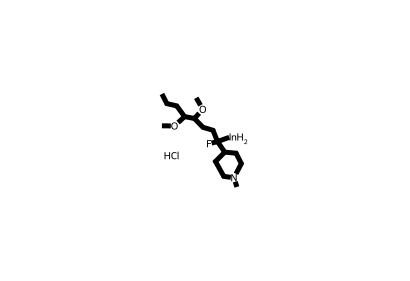 CCCC(OC)C(CC[C](F)([InH2])C1CCN(C)CC1)OC.Cl